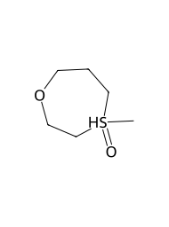 C[SH]1(=O)CCCOCC1